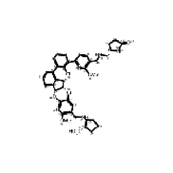 COc1nc(-c2cccc(-c3cccc4c3CC[C@@H]4Oc3nc(OC)c(CN[C@@H]4CCC[C@@H]4C(=O)O)cc3Cl)c2Cl)ccc1CNC[C@@H]1CCC(=O)N1